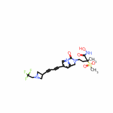 CC(CCN1Cc2cc(C#CC#CC3CN(CC(F)(F)F)C3)cn2C1=O)(C(=O)NO)S(C)(=O)=O